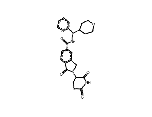 O=C1CCC(N2Cc3cc(C(=O)N[C@@H](c4ccccn4)C4CCOCC4)ccc3C2=O)C(=O)N1